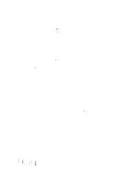 CCCCCc1ccc([AsH2])cc1